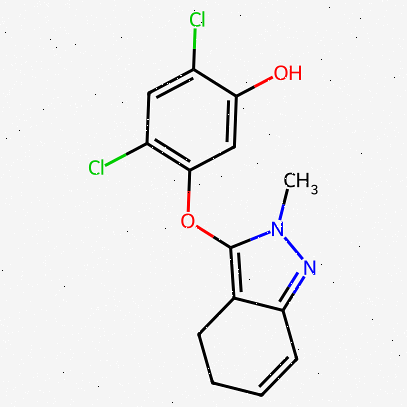 Cn1nc2c(c1Oc1cc(O)c(Cl)cc1Cl)CCC=C2